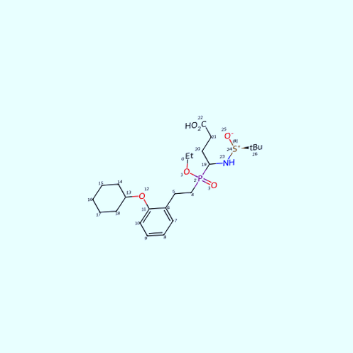 CCOP(=O)(CCc1ccccc1OC1CCCCC1)C(CCC(=O)O)N[S@@+]([O-])C(C)(C)C